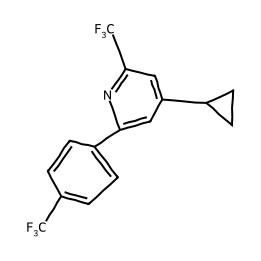 FC(F)(F)c1ccc(-c2cc(C3CC3)cc(C(F)(F)F)n2)cc1